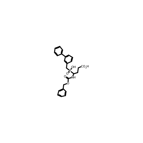 O=C(O)CCC(NC(=O)OCc1ccccc1)P(=O)(O)Cc1cccc(-c2ccccc2)c1